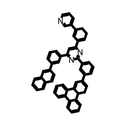 C1=C(c2cccc(-c3nc(C4=CCCC(c5cccnc5)=C4)cc(-c4cccc(-c5ccc6ccccc6c5)c4)n3)c2)C=C2c3ccccc3-c3ccccc3C2C1